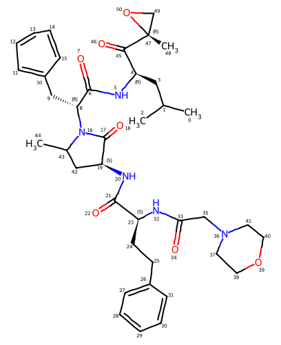 CC(C)C[C@@H](NC(=O)[C@@H](Cc1ccccc1)N1C(=O)[C@@H](NC(=O)[C@H](CCc2ccccc2)NC(=O)CN2CCOCC2)CC1C)C(=O)[C@@]1(C)CO1